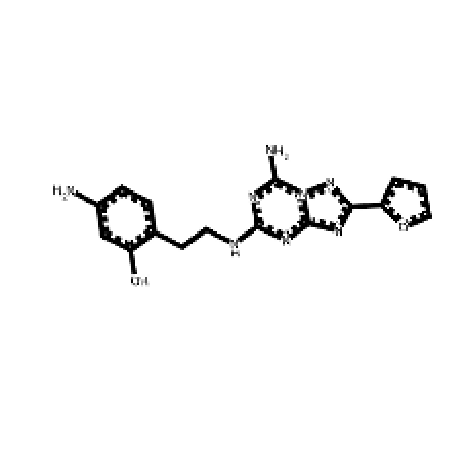 Nc1ccc(CCNc2nc(N)n3nc(-c4ccco4)nc3n2)c(O)c1